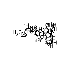 [2H]C([2H])(CC1CCCN1C)NS(=O)(=O)c1ccc(OCCC)c(-c2nc3c(C([2H])([2H])C([2H])([2H])C([2H])([2H])[2H])nn(C([2H])([2H])[2H])c3c(=O)[nH]2)c1